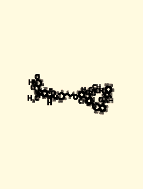 Cc1c(OCCCC2CCN(CC(=O)Nc3cc4c(cc3F)c(C3CCC(=O)NC3=O)nn4C)CC2)cccc1-c1ccc(N2CCc3cccc(C(=O)Nc4nc5ccccc5s4)c3C2)nc1C(=O)OC(C)(C)C